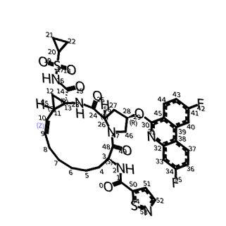 O=C(N[C@H]1CCCCC/C=C\[C@@H]2C[C@@]2(C(=O)NS(=O)(=O)C2CC2)NC(=O)[C@@H]2C[C@@H](Oc3nc4cc(F)ccc4c4cc(F)ccc34)CN2C1=O)c1ccns1